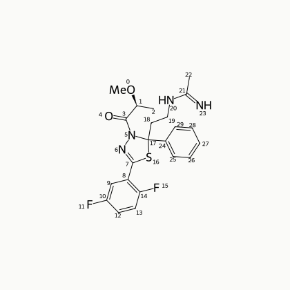 CO[C@@H](C)C(=O)N1N=C(c2cc(F)ccc2F)SC1(CCNC(C)=N)c1ccccc1